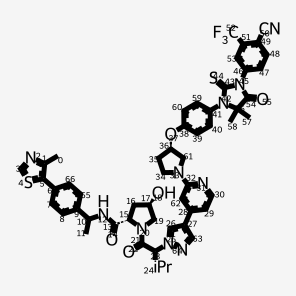 Cc1ncsc1-c1ccc(C(C)NC(=O)[C@@H]2C[C@@H](O)CN2C(=O)C(C(C)C)n2cc(-c3ccnc(N4CC[C@H](Oc5ccc(N6C(=S)N(c7ccc(C#N)c(C(F)(F)F)c7)C(=O)C6(C)C)cc5)C4)c3)cn2)cc1